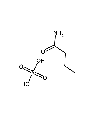 CCCC(N)=O.O=S(=O)(O)O